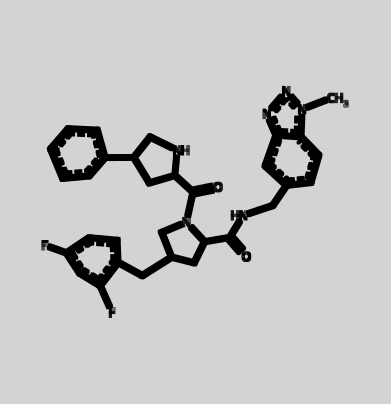 Cn1nnc2cc(CNC(=O)C3CC(Cc4ccc(F)cc4F)CN3C(=O)C3CC(c4ccccc4)CN3)ccc21